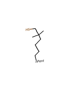 CCCCCCCCCC(C)(C)CS